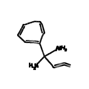 C=CC(N)(N)c1ccccc1